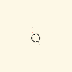 CC(C)(C)c1ccc(OC=O)cc1.[NaH]